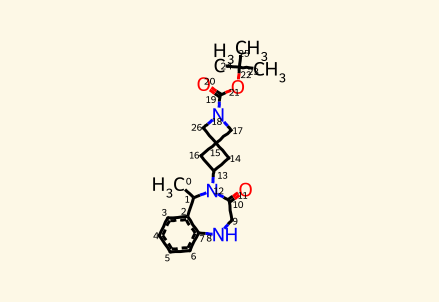 CC1c2ccccc2NCC(=O)N1C1CC2(C1)CN(C(=O)OC(C)(C)C)C2